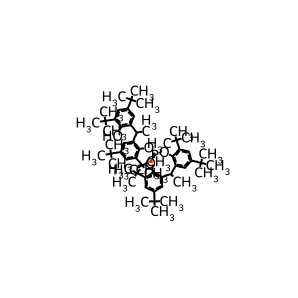 CC(c1cc(C(C)(C)C)cc(C(C)(C)C)c1O)c1cc(C(C)(C)C)cc(C(C)(C)C)c1OP1Oc2c(cc(C(C)(C)C)cc2C(C)(C)C)C(C)c2cc(C(C)(C)C)cc(C(C)(C)C)c2O1